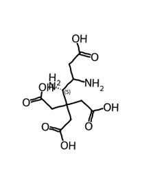 NC(CC(=O)O)[C@@H](N)C(CC(=O)O)(CC(=O)O)CC(=O)O